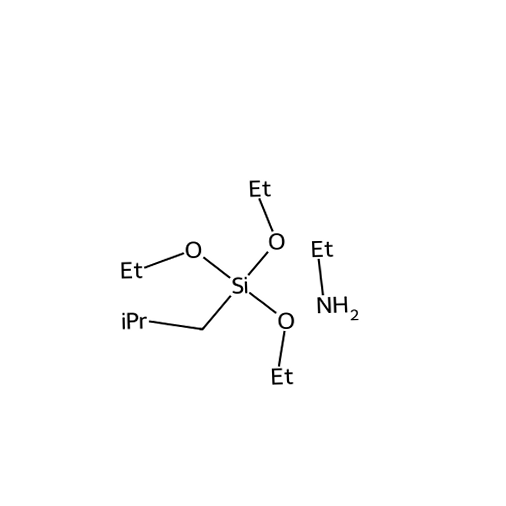 CCN.CCO[Si](CC(C)C)(OCC)OCC